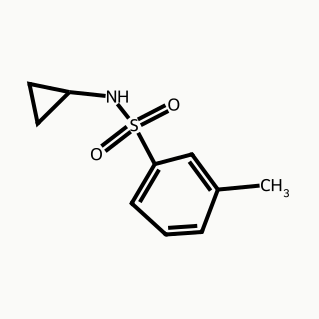 Cc1cccc(S(=O)(=O)NC2CC2)c1